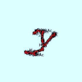 CC(=O)N[C@H]1[C@H]([C@H](O)[C@H](O)CNC(=O)c2cccc(Oc3ccccc3)c2)O[C@@](OCCOCCOCc2cn(CCCC[C@H](NC(=O)CCCn3cc(COCCOCCO[C@]4(C(=O)O)C[C@H](O)[C@@H](NC(C)=O)[C@H]([C@H](O)[C@H](O)CNC(=O)c5cccc(Oc6ccccc6)c5)O4)nn3)C(=O)NCCOCCOCCOCCOCCC(=O)Oc3c(F)c(F)c(F)c(F)c3F)nn2)(C(=O)O)C[C@@H]1O